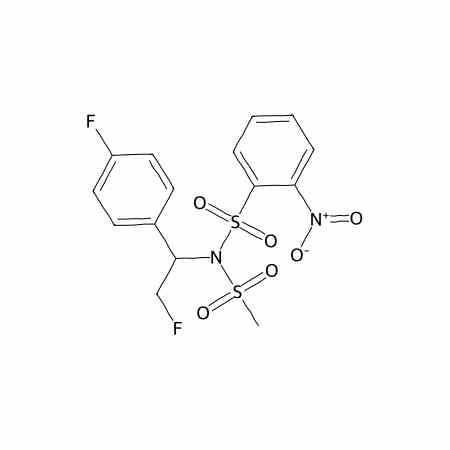 CS(=O)(=O)N(C(CF)c1ccc(F)cc1)S(=O)(=O)c1ccccc1[N+](=O)[O-]